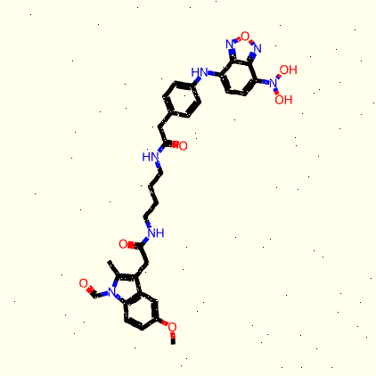 COc1ccc2c(c1)c(CC(=O)NCCCCNC(=O)Cc1ccc(Nc3ccc(N(O)O)c4nonc34)cc1)c(C)n2C=O